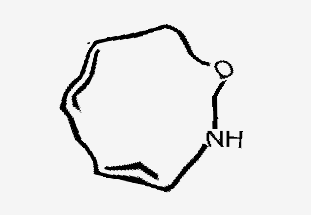 [C]1=CC=CNOC1